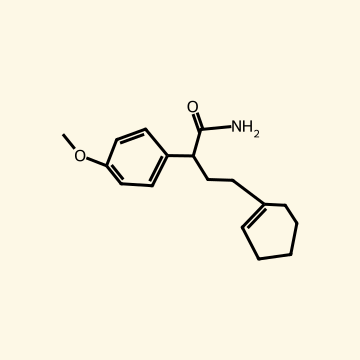 COc1ccc(C(CCC2=CCCCC2)C(N)=O)cc1